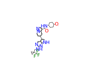 CO[C@H]1CC[C@H](NC(=O)c2cnn3ccc(-c4c[nH]c5nc(NCC6(C(F)(F)F)CC6)ncc45)cc23)CC1